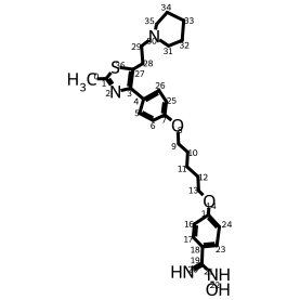 Cc1nc(-c2ccc(OCCCCCOc3ccc(C(=N)NO)cc3)cc2)c(CCN2CCCCC2)s1